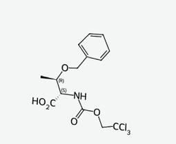 C[C@@H](OCc1ccccc1)[C@H](NC(=O)OCC(Cl)(Cl)Cl)C(=O)O